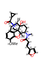 COc1ccc2c3c1O[C@H]1[C@H](N(C)C(=O)/C=C/c4ccoc4)CC[C@@]4(O)[C@@H](C2)N(C(=O)C2CC2)CCC314